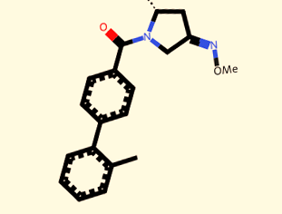 CO/N=C1/C[C@@H](C(=O)O)N(C(=O)c2ccc(-c3ccccc3C)cc2)C1